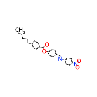 CCCCCCc1ccc(C(=O)Oc2ccc(/C=N/c3ccc([N+](=O)[O-])cc3)cc2)cc1